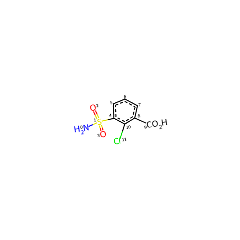 NS(=O)(=O)c1cccc(C(=O)O)c1Cl